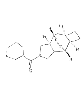 O=C(C1CCCCC1)N1CC2[C@@H](C1)[C@H]1CC[C@@H]2[C@@H]2CC[C@@H]21